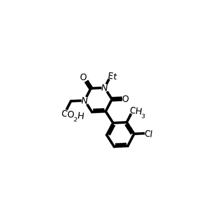 CCn1c(=O)c(-c2cccc(Cl)c2C)cn(CC(=O)O)c1=O